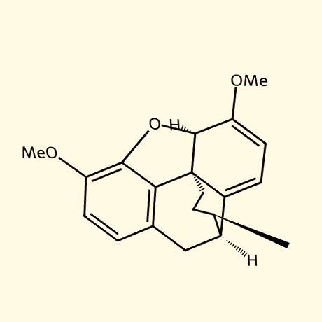 COC1=CC=C2[C@H]3Cc4ccc(OC)c5c4[C@@]2(CC[C@H]3C)[C@H]1O5